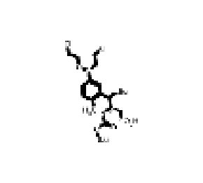 Cc1ccc(N(CCCl)OCCCl)cc1C([C@@H](CC(=O)O)NC(=O)OC(C)(C)C)C(C)(C)C